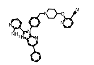 N#Cc1cccnc1OC1CCN(Cc2ccc(-n3c(-c4cccnc4N)nc4cc(-c5ccccc5)cnc43)cc2)CC1